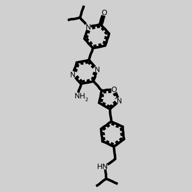 CC(C)NCc1ccc(-c2cc(-c3nc(-c4ccc(=O)n(C(C)C)c4)cnc3N)on2)cc1